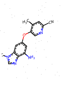 Cc1cc(C#N)ncc1Oc1cc(N)c2ncn(C)c2c1